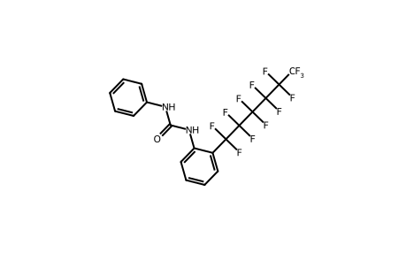 O=C(Nc1ccccc1)Nc1ccccc1C(F)(F)C(F)(F)C(F)(F)C(F)(F)C(F)(F)C(F)(F)F